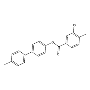 Cc1ccc(-c2ccc(OC(=O)c3ccc(C)c(Cl)c3)cc2)cc1